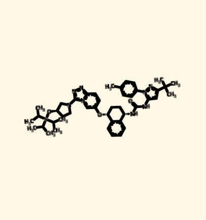 Cc1ccc(-n2nc(C(C)(C)C)cc2NC(=O)N[C@H]2CC[C@@H](Oc3ccc4nnc(N5CC[C@@H](O[Si](C(C)C)(C(C)C)C(C)C)C5)n4c3)c3ccccc32)cc1